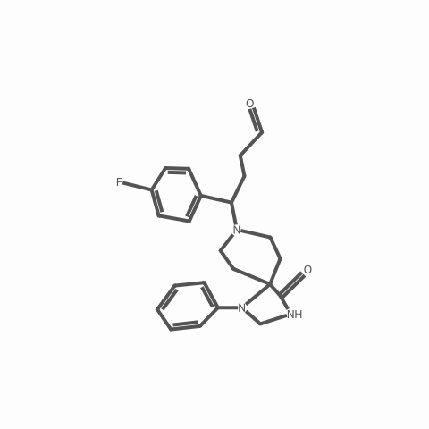 O=CCCC(c1ccc(F)cc1)N1CCC2(CC1)C(=O)NCN2c1ccccc1